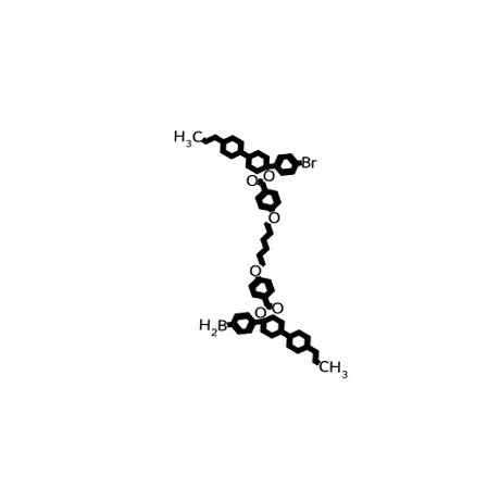 Bc1ccc(C2(OC(=O)c3ccc(OCCCCCCOc4ccc(C(=O)OC5(c6ccc(Br)cc6)CCC(C6CCC(CCC)CC6)CC5)cc4)cc3)CCC(C3CCC(CCC)CC3)CC2)cc1